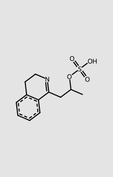 CC(CC1=NCCc2ccccc21)OS(=O)(=O)O